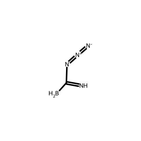 BC(=N)N=[N+]=[N-]